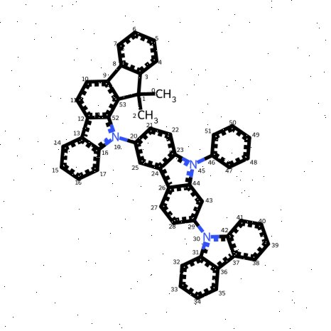 CC1(C)c2ccccc2-c2ccc3c4ccccc4n(-c4ccc5c(c4)c4ccc(-n6c7ccccc7c7ccccc76)cc4n5-c4ccccc4)c3c21